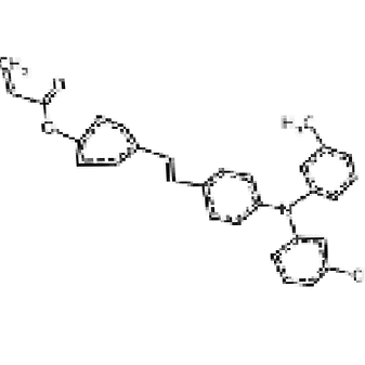 C=CC(=O)Oc1ccc(C=Cc2ccc(N(c3cccc(C)c3)c3cccc(C)c3)cc2)cc1